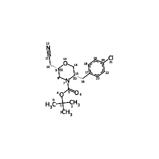 CC(C)(C)OC(=O)N1C[C@H](CC#N)OC[C@@H]1Cc1ccc(Cl)cc1